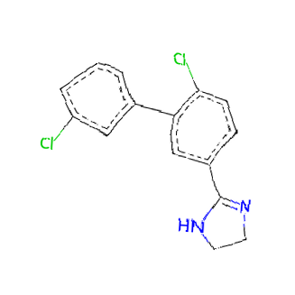 Clc1cccc(-c2cc(C3=NCCN3)ccc2Cl)c1